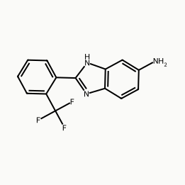 Nc1ccc2nc(-c3ccccc3C(F)(F)F)[nH]c2c1